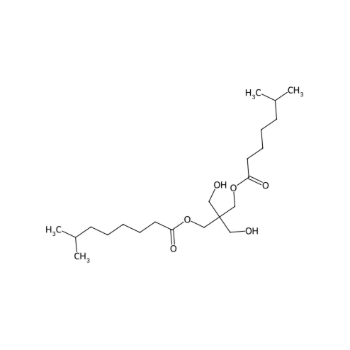 CC(C)CCCCCC(=O)OCC(CO)(CO)COC(=O)CCCCC(C)C